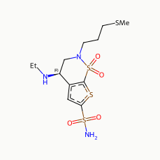 CCN[C@H]1CN(CCCSC)S(=O)(=O)c2sc(S(N)(=O)=O)cc21